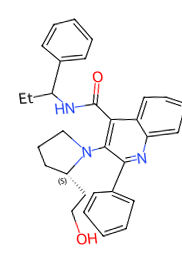 CCC(NC(=O)c1c(N2CCC[C@H]2CCO)c(-c2ccccc2)nc2ccccc12)c1ccccc1